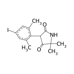 Cc1cc(I)cc(C)c1C1C(=O)NC(C)(C)C1=O